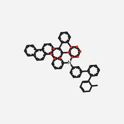 CC1CC=CC=C1c1ccccc1-c1cccc(N(c2cccc(-c3cccc4c3ccc3ccccc34)c2)c2ccccc2-c2ccccc2-c2ccccc2-c2ccccc2)c1